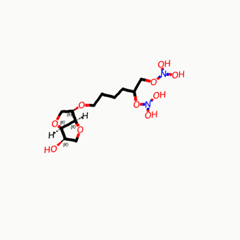 O[C@@H]1CO[C@H]2[C@@H]1OC[C@H]2OCCCCC(CON(O)O)ON(O)O